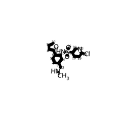 CNCc1ccc(-c2ccco2)c(NS(=O)(=O)c2ccc(Cl)nc2)c1